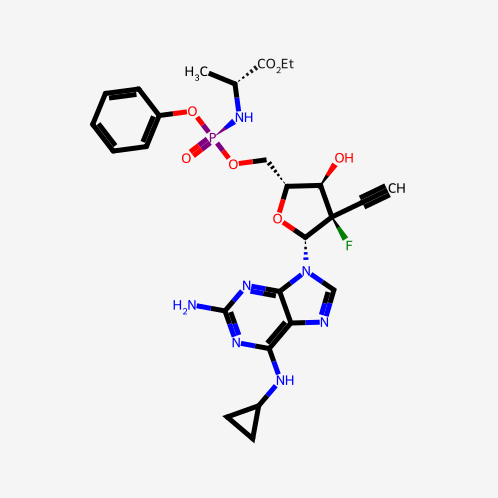 C#C[C@@]1(F)[C@H](O)[C@@H](CO[P@@](=O)(N[C@H](C)C(=O)OCC)Oc2ccccc2)O[C@H]1n1cnc2c(NC3CC3)nc(N)nc21